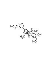 Cc1cc(-c2cccc(C(=O)O)c2)ccc1O[C@H]1OC(CO)[C@@H](O)C(O)[C@]1(C)O